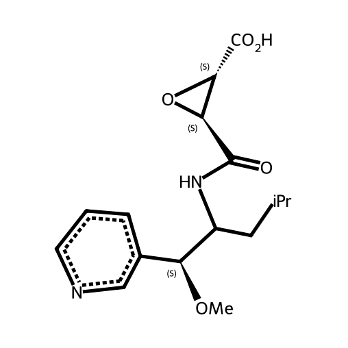 CO[C@@H](c1cccnc1)C(CC(C)C)NC(=O)[C@H]1O[C@@H]1C(=O)O